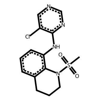 CS(=O)(=O)N1CCCc2cccc(Nc3ncncc3Cl)c21